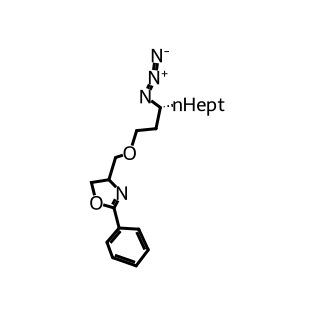 CCCCCCC[C@H](CCOCC1COC(c2ccccc2)=N1)N=[N+]=[N-]